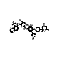 COc1cc(N2CCC(C3(C)CNCC(C)O3)CC2)c(-c2cnn(C)c2)cc1Nc1ncc(Br)c(Nc2ccc3nccnc3c2P(C)(C)=O)n1